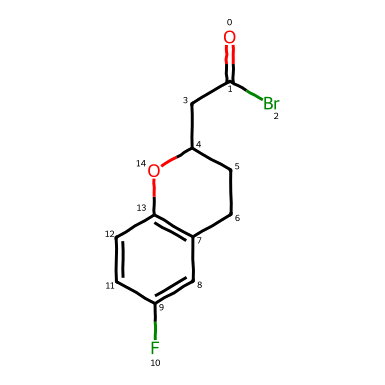 O=C(Br)CC1CCc2cc(F)ccc2O1